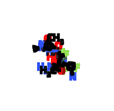 COc1cc(C(=O)NC[C@](O)(c2cc3c(c(-c4ccc(F)c(C#N)c4F)n2)OC[C@]3(C)C(N)=O)C(F)(F)F)cc2cn(C3CC3)nc12